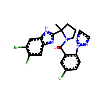 CC1(c2nc3cc(F)c(Br)cc3[nH]2)CCCN1C(=O)c1cc(Cl)ccc1-n1nccn1